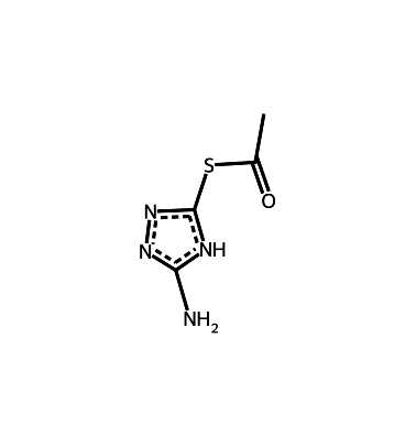 CC(=O)Sc1nnc(N)[nH]1